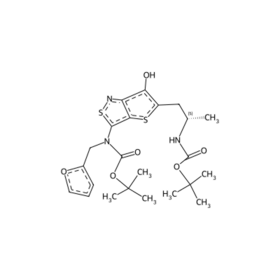 C[C@@H](Cc1sc2c(N(Cc3ccco3)C(=O)OC(C)(C)C)snc2c1O)NC(=O)OC(C)(C)C